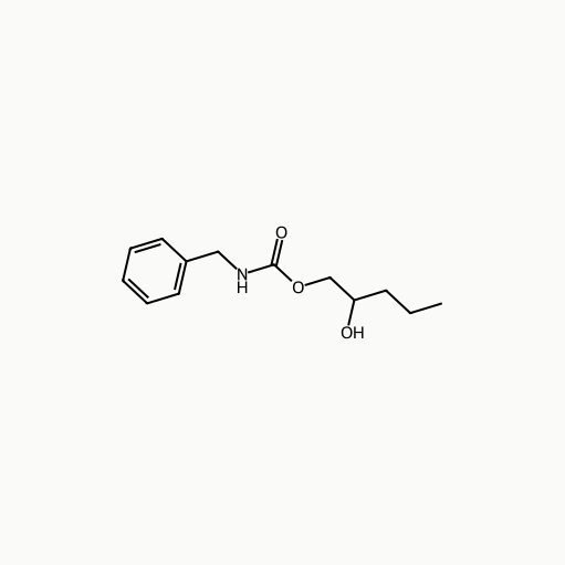 CCCC(O)COC(=O)NCc1ccccc1